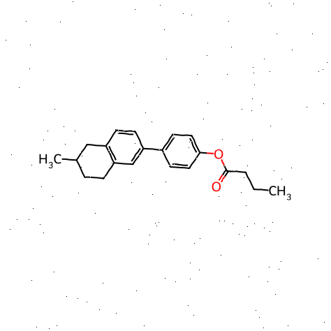 CCCC(=O)Oc1ccc(-c2ccc3c(c2)CCC(C)C3)cc1